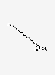 CC(C)CCCCCCCCCCCCCCCOCC(C)O